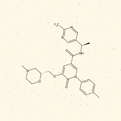 Cc1ccc(-n2cc(C(=O)N[C@H](C)c3cnc(C(F)(F)F)nc3)cc(OC[C@H]3CN(C)CCO3)c2=O)cc1